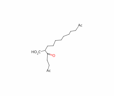 CC(=O)CCCCCCCCC(C(=O)O)C(=O)CCC(C)=O